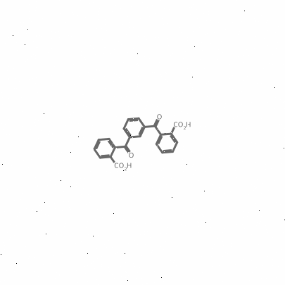 O=C(O)c1ccccc1C(=O)c1cccc(C(=O)c2ccccc2C(=O)O)c1